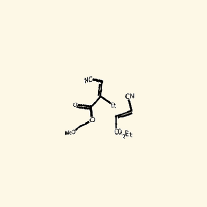 CCC(=CC#N)C(=O)OOC.CCOC(=O)C=CC#N